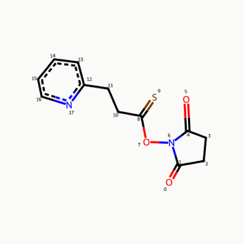 O=C1CCC(=O)N1OC(=S)CCc1ccccn1